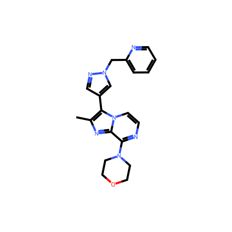 Cc1nc2c(N3CCOCC3)nccn2c1-c1cnn(Cc2ccccn2)c1